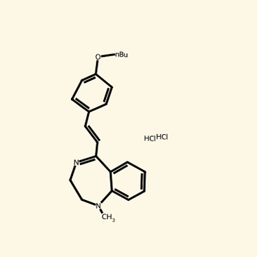 CCCCOc1ccc(/C=C/C2=NCCN(C)c3ccccc32)cc1.Cl.Cl